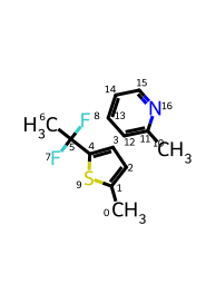 Cc1ccc(C(C)(F)F)s1.Cc1ccccn1